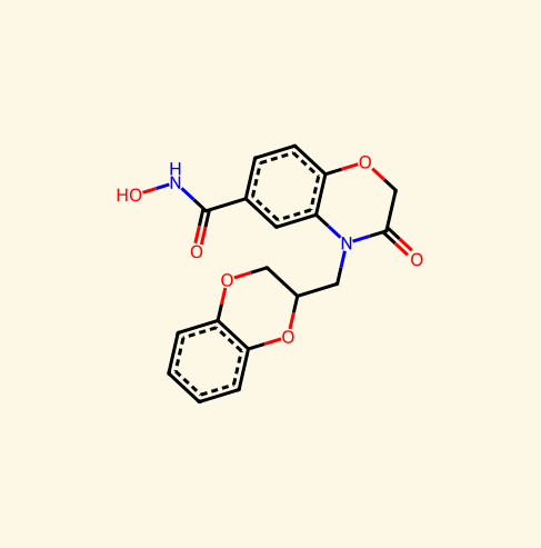 O=C(NO)c1ccc2c(c1)N(CC1COc3ccccc3O1)C(=O)CO2